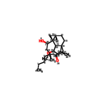 CCCC[C@]1(C)C[C@@H](O)[C@]23C[C@@H]2CCC2(CC[C@@H](OC)C23)[C@@H](C)C1=O